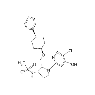 CS(=O)(=O)N[C@H]1CCN(c2cc(O)c(Cl)cn2)[C@H]1CO[C@H]1CC[C@@H](c2ccccc2)CC1